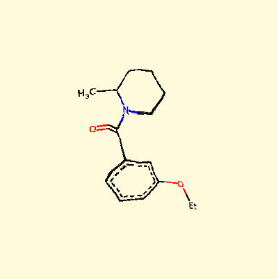 CCOc1cccc(C(=O)N2CCCCC2C)c1